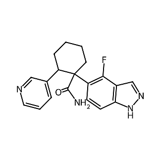 NC(=O)C1(c2ccc3[nH]ncc3c2F)CCCCC1c1cccnc1